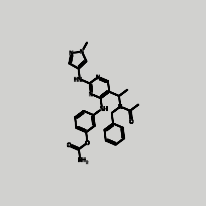 CC(=O)N(Cc1ccccc1)C(C)c1cnc(Nc2cnn(C)c2)nc1Nc1cccc(OC(N)=O)c1